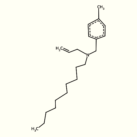 C=CCN(CCCCCCCCCC)Cc1ccc(C)cc1